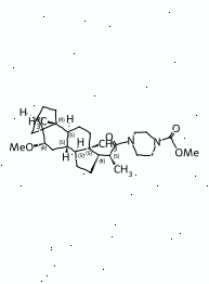 COC(=O)N1CCN(C(=O)[C@@H](C)[C@H]2CC[C@H]3[C@@H]4C[C@@H](OC)C56C[C@H]5CC[C@]6(C)[C@H]4CC[C@]23C)CC1